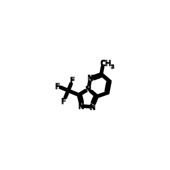 Cc1ccc2nnc(C(F)(F)F)n2n1